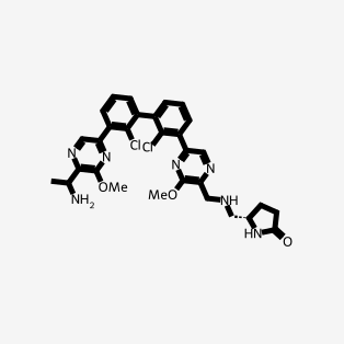 COc1nc(-c2cccc(-c3cccc(-c4cnc(C(C)N)c(OC)n4)c3Cl)c2Cl)cnc1CNC[C@@H]1CCC(=O)N1